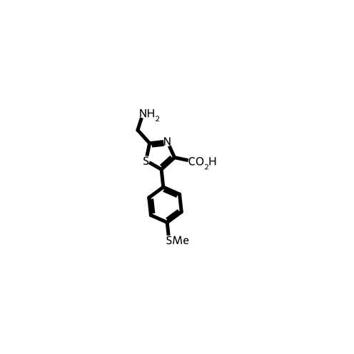 CSc1ccc(-c2sc(CN)nc2C(=O)O)cc1